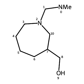 CNCN1CCCCC(CO)C1